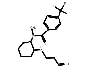 C=CCCNC1CCCCC1N(C)C(=O)c1ccc(C(F)(F)F)cc1